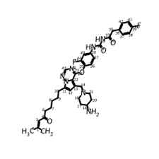 CC(C)=CC(=O)CCCCCc1cc(CN2CCC(N)CC2)c2c(Oc3ccc(NC(=O)NC(=O)Cc4ccc(F)cc4)cc3F)ncnn12